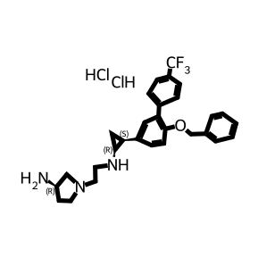 Cl.Cl.N[C@@H]1CCN(CCN[C@@H]2C[C@H]2c2ccc(OCc3ccccc3)c(-c3ccc(C(F)(F)F)cc3)c2)C1